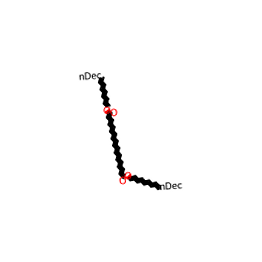 CCCCCCCCCCCCCCCCCCCOC(=O)CCCCCCCCCCCCCCCCCC(=O)OCCCCCCCCCCCCCCCCCCC